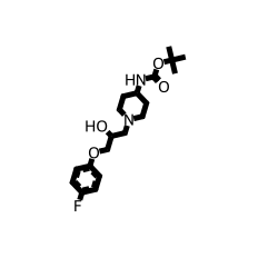 CC(C)(C)OC(=O)NC1CCN(CC(O)COc2ccc(F)cc2)CC1